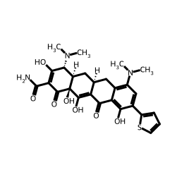 CN(C)c1cc(-c2cccs2)c(O)c2c1C[C@@H]1C[C@@H]3[C@@H](N(C)C)C(O)=C(C(N)=O)C(=O)[C@@]3(O)C(O)=C1C2=O